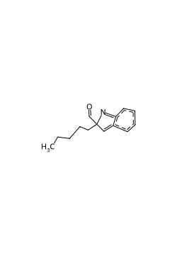 CCCCCC1(C=O)C=c2ccccc2=N1